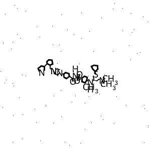 Cc1cc(S(=O)(=O)NC(=O)c2ccc(N3CCN(Cc4ccccc4-c4cccnc4)CC3)cc2)ccc1N[C@H](CCN(C)C)CSc1ccccc1